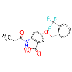 CCC(=O)Nc1ccc(OCc2ccccc2C(F)(F)F)cc1C(=O)O